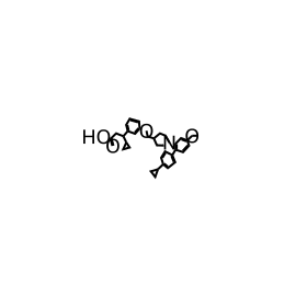 COc1ccc(-c2ccc(C3CC3)cc2)c(N2CCC(COc3cccc(C(CC(=O)O)C4CC4)c3)CC2)c1